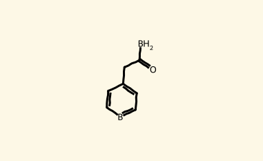 BC(=O)Cc1ccbcc1